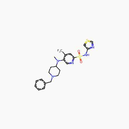 CN(c1cnc(S(=O)(=O)Nc2cscn2)cc1C(F)(F)F)C1CCN(Cc2ccccc2)CC1